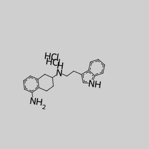 Cl.Cl.Nc1cccc2c1CCC(NCCc1c[nH]c3ccccc13)C2